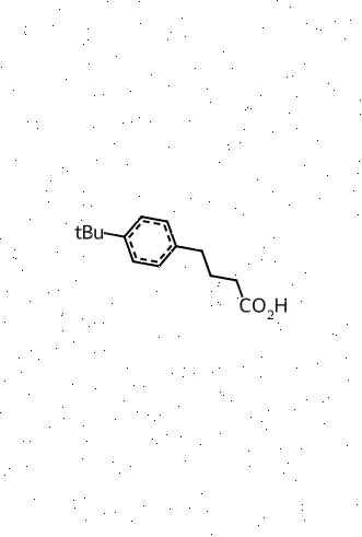 CC(C)(C)c1ccc(CCCC(=O)O)cc1